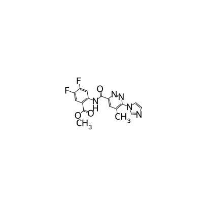 COC(=O)c1cc(F)c(F)cc1NC(=O)c1cc(C)c(-n2ccnc2)nn1